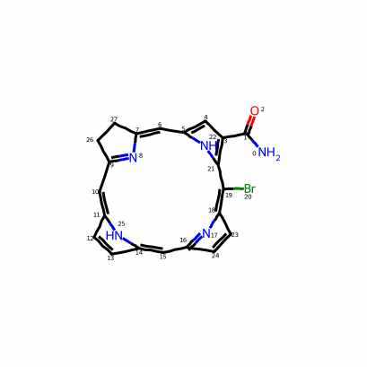 NC(=O)c1cc2cc3nc(cc4ccc(cc5nc(c(Br)c1[nH]2)C=C5)[nH]4)CC3